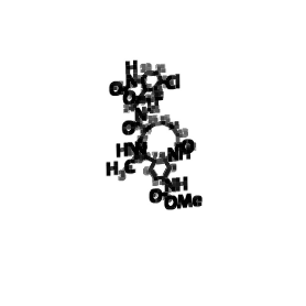 COC(=O)Nc1ccc2c(c1)NC(=O)CCCC[C@@H](C(=O)N1CC[C@@]3(C1)OC(=O)Nc1ccc(Cl)c(F)c13)c1nc-2c(C)[nH]1